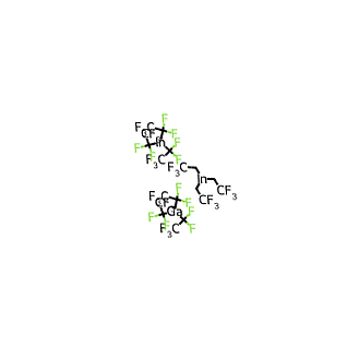 FC(F)(F)[CH2][In]([CH2]C(F)(F)F)[CH2]C(F)(F)F.FC(F)(F)[C](F)(F)[Ga]([C](F)(F)C(F)(F)F)[C](F)(F)C(F)(F)F.FC(F)(F)[C](F)(F)[In]([C](F)(F)C(F)(F)F)[C](F)(F)C(F)(F)F